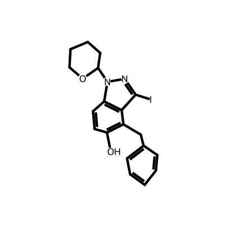 Oc1ccc2c(c(I)nn2C2CCCCO2)c1Cc1ccccc1